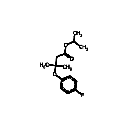 CC(C)OC(=O)CC(C)(C)Oc1ccc(F)cc1